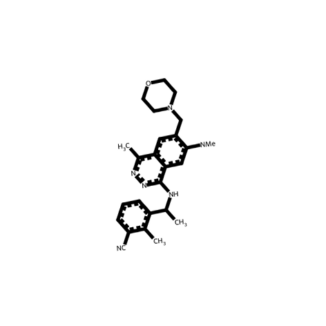 CNc1cc2c(NC(C)c3cccc(C#N)c3C)nnc(C)c2cc1CN1CCOCC1